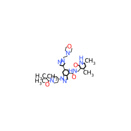 Cc1cc(C)c(CNC(=O)c2cc(-c3cnn(CCN4CCOCC4)c3)cc3c2cnn3C2CCN(C(=O)C(C)(C)C)CC2)c(=O)[nH]1